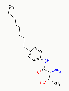 CCCCCCCCc1ccc(NC(=O)[C@@H](N)[C@H](C)O)cc1